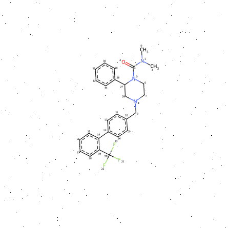 CN(C)C(=O)N1CCN(Cc2ccc(-c3ccccc3C(F)(F)F)cc2)CC1c1ccccc1